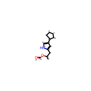 CC(Cc1cc(C2CCCC2)c[nH]1)OC=O